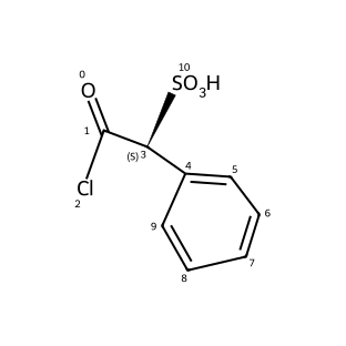 O=C(Cl)[C@H](c1ccccc1)S(=O)(=O)O